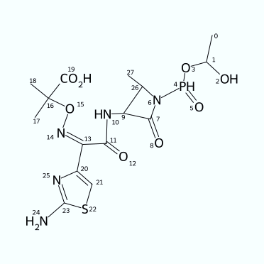 CC(O)O[PH](=O)N1C(=O)C(NC(=O)C(=NOC(C)(C)C(=O)O)c2csc(N)n2)C1C